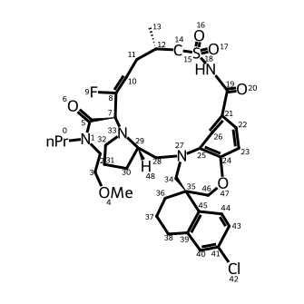 CCCN(CCOC)C(=O)[C@H]1/C(F)=C/C[C@H](C)CS(=O)(=O)NC(=O)c2ccc3c(c2)N(C[C@@H]2CCCN21)C[C@@]1(CCCc2cc(Cl)ccc21)CO3